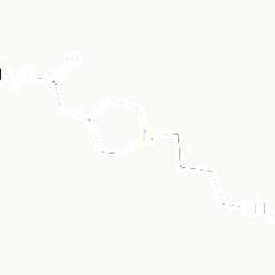 CCCCCN1CCC(CC(C)=O)CC1